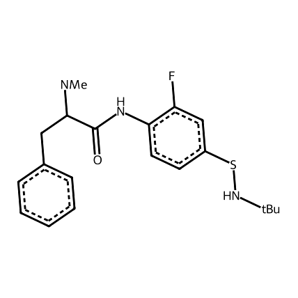 CNC(Cc1ccccc1)C(=O)Nc1ccc(SNC(C)(C)C)cc1F